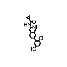 O=C(NC1C=c2ccc(-c3cc(O)ccc3Cl)cc2=CN1)C1CC1